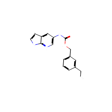 N#CCc1cccc(COC(=O)Nc2cnc3[nH]ccc3c2)c1